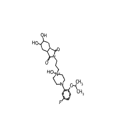 CC(C)Oc1ccc(F)cc1N1CC[N+](O)(CCCN2C(=O)C3CC(O)C(O)CC3C2=O)CC1